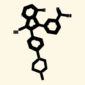 CN1CCN(c2ccc(-c3c(-c4cccc(C(=O)O)c4)c4c(Cl)ccnc4n3C)cc2)CC1.[LiH]